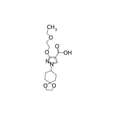 CCOCCOc1nn(C2CCC3(CC2)OCCO3)cc1C(=O)O